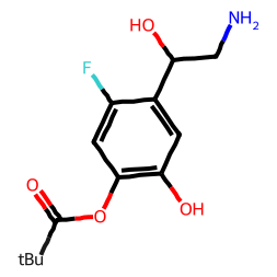 CC(C)(C)C(=O)Oc1cc(F)c(C(O)CN)cc1O